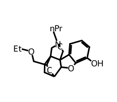 CCCN1CCC23c4cccc(O)c4OC2C2CCC3(C1)C(COCC)C2